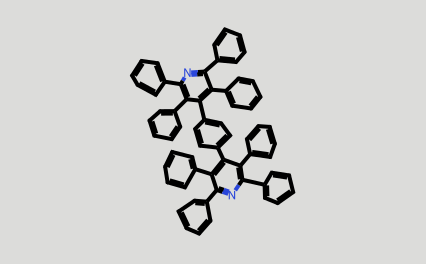 c1ccc(-c2nc(-c3ccccc3)c(-c3ccccc3)c(-c3ccc(-c4c(-c5ccccc5)c(-c5ccccc5)nc(-c5ccccc5)c4-c4ccccc4)cc3)c2-c2ccccc2)cc1